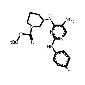 CC(C)(C)OC(=O)N1CCC[C@@H](Nc2nc(Nc3ccc(F)cc3)ncc2[N+](=O)[O-])C1